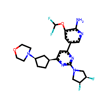 Nc1ncc(-c2cc([C@H]3CC[C@@H](N4CCOCC4)C3)nc(N3C[C@@H](F)[C@@H](F)C3)n2)cc1OC(F)F